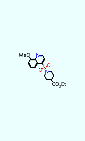 CCOC(=O)C1CCN(S(=O)(=O)c2ccnc3c(OC)cccc23)CC1